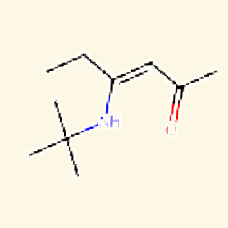 CC/C(=C/C(C)=O)NC(C)(C)C